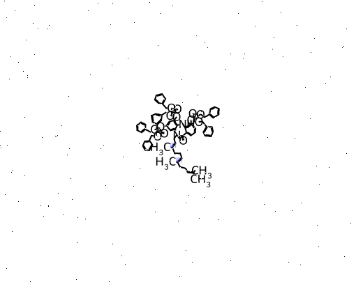 CC(C)=CCC/C(C)=C/CC/C(C)=C/CN1C(=O)c2cccc(OP(=O)(OCc3ccccc3)OCc3ccccc3)c2Nc2c(OP(=O)(OCc3ccccc3)OCc3ccccc3)cc(OP(=O)(OCc3ccccc3)OCc3ccccc3)cc21